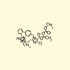 CCCCc1nc(Cl)c(C(=O)O[C@@H](C)OC(=O)OCC)n1Cc1ccc(-c2ccccc2-c2nnn[nH]2)cc1